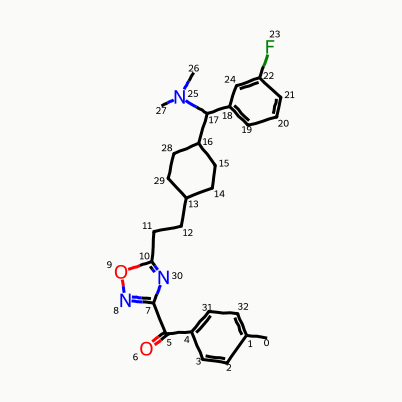 Cc1ccc(C(=O)c2noc(CCC3CCC(C(c4cccc(F)c4)N(C)C)CC3)n2)cc1